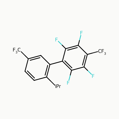 CC(C)c1ccc(C(F)(F)F)cc1-c1c(F)c(F)c(C(F)(F)F)c(F)c1F